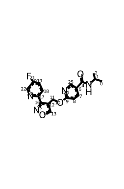 CC(C)NC(=O)c1ccc(OCc2conc2-c2ccc(F)cn2)nc1